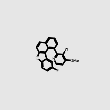 COc1ccnc(-c2cccc3ccc4oc5ccc(F)cc5c4c23)c1Cl